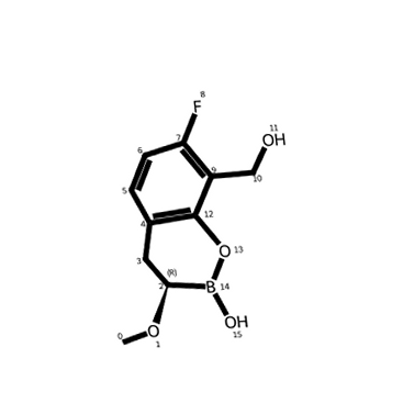 CO[C@H]1Cc2ccc(F)c(CO)c2OB1O